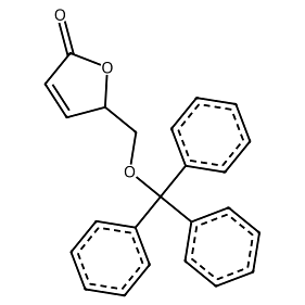 O=C1C=CC(COC(c2ccccc2)(c2ccccc2)c2ccccc2)O1